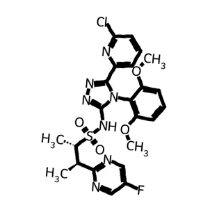 COc1cccc(OC)c1-n1c(NS(=O)(=O)[C@@H](C)[C@H](C)c2ncc(F)cn2)nnc1-c1cccc(Cl)n1